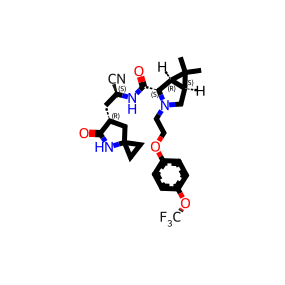 CC1(C)[C@@H]2[C@@H](C(=O)N[C@H](C#N)C[C@@H]3CC4(CC4)NC3=O)N(CCOc3ccc(OC(F)(F)F)cc3)C[C@@H]21